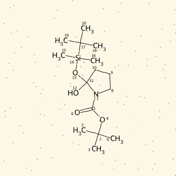 CC(C)(C)OC(=O)N1CCCC1(O)O[Si](C)(C)C(C)(C)C